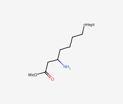 CCCCCCCCCCCC(N)CC(=O)OC